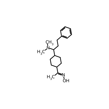 CC(=NO)C1CCC(C(CCc2ccccc2)N(C)C)CC1